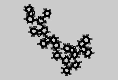 c1ccc(-c2nc(-c3cccc4c3oc3ccccc34)nc(-c3ccc(-n4c5ccccc5c5c6cc(-c7cccc(-c8nc(-c9ccccc9-c9ccccc9)nc(-c9ccc(-n%10c%11ccccc%11c%11c%12ccccc%12ccc%11%10)c%10oc%11ccccc%11c9%10)n8)c7)ccc6ccc54)c4oc5ccccc5c34)n2)cc1